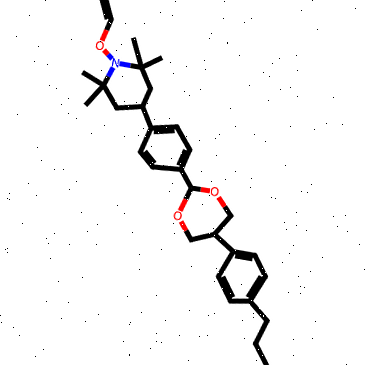 C=CON1C(C)(C)CC(c2ccc(C3OCC(c4ccc(CCC)cc4)CO3)cc2)CC1(C)C